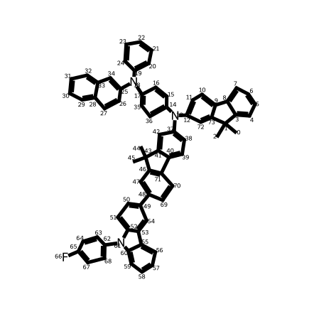 CC1(C)c2ccccc2-c2ccc(N(c3ccc(N(c4ccccc4)c4ccc5ccccc5c4)cc3)c3ccc4c(c3)C(C)(C)c3cc(-c5ccc6c(c5)c5ccccc5n6-c5ccc(F)cc5)ccc3-4)cc21